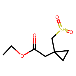 CCOC(=O)CC1(C[SH](=O)=O)CC1